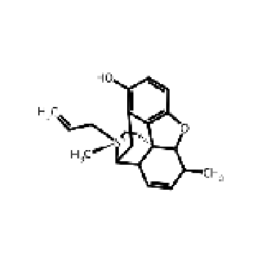 C=CC[N@+]1(C)CC[C@@]23c4c5ccc(O)c4CC1C2C=C[C@H](C)C3O5